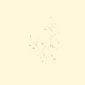 Cc1ccc(N(c2cc3oc4cc(N(c5ccc(C)cc5)c5ccc(Cc6cccc(N(c7cc8oc9cc(N(c%10cccc(C)c%10)c%10cccc%11c%10oc%10c(C%12CCCC%12)cccc%10%11)c%10ccccc%10c9c8c8ccccc78)c7cccc8c7oc7c(C9CCCC9)cccc78)c6)c6c5oc5c(C7CCCC7)cccc56)c5ccccc5c4c3c3ccccc23)c2cccc3c2oc2c(C4CCCC4)cccc23)cc1